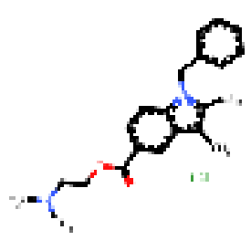 Cc1c(C)n(Cc2ccccc2)c2ccc(C(=O)OCCN(C)C)cc12.Cl